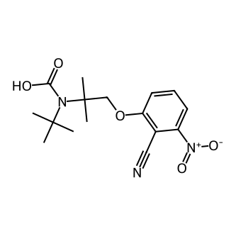 CC(C)(C)N(C(=O)O)C(C)(C)COc1cccc([N+](=O)[O-])c1C#N